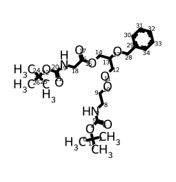 CC(C)(C)OC(=O)NCCOOCC(COC(=O)CNC(=O)OC(C)(C)C)OCc1ccccc1